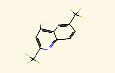 FC(F)(F)c1ccc2nc(C(F)(F)F)cc(Cl)c2c1